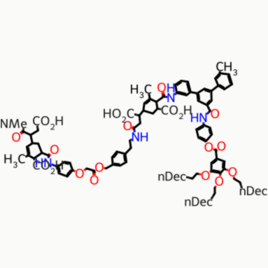 CCCCCCCCCCCCOc1cc(C(=O)Oc2ccc(NC(=O)c3cc(-c4cccc(C)c4)cc(-c4cccc(NC(=O)C5C(C)=CC(C(CC(=O)NCCc6ccc(COC(=O)COc7ccc(NC(=O)C8CC(C(CC(=O)O)C(=O)NC)C=C(C)C8C(=O)O)cc7)cc6)C(=O)O)CC5C(=O)O)c4)c3)cc2)cc(OCCCCCCCCCCCC)c1OCCCCCCCCCCCC